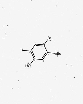 CCCCc1cc(O)c(C)cc1Br